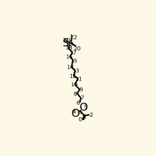 C=C(C)C(=O)OCCCCCCCCCCCCC[Si](C)(C)I